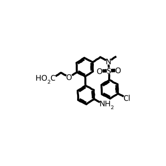 CN(Cc1ccc(OCC(=O)O)c(-c2cccc(N)c2)c1)S(=O)(=O)c1cccc(Cl)c1